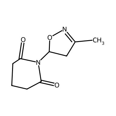 CC1=NOC(N2C(=O)CCCC2=O)C1